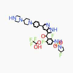 O=C(O)C(F)(F)F.O=C(c1c(F)ccc(NS(=O)(=O)N2CC[C@@H](F)C2)c1F)c1c[nH]c2ncc(-c3ccc(N4CCC(N5CCNCC5)CC4)cc3)cc12